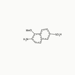 COc1c(N)ccc2cc(S(=O)(=O)O)ccc12